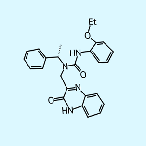 CCOc1ccccc1NC(=O)N(Cc1nc2ccccc2[nH]c1=O)[C@@H](C)c1ccccc1